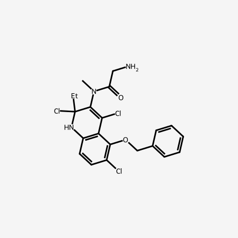 CCC1(Cl)Nc2ccc(Cl)c(OCc3ccccc3)c2C(Cl)=C1N(C)C(=O)CN